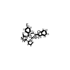 CC[C@H](NC(=O)N1CCC[C@@H]1c1nnc(C)n1Cc1ccc(F)cc1)c1cc2ccccc2o1